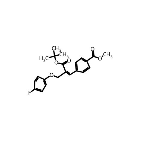 COC(=O)c1ccc(C=C(COc2ccc(F)cc2)C(=O)OC(C)(C)C)cc1